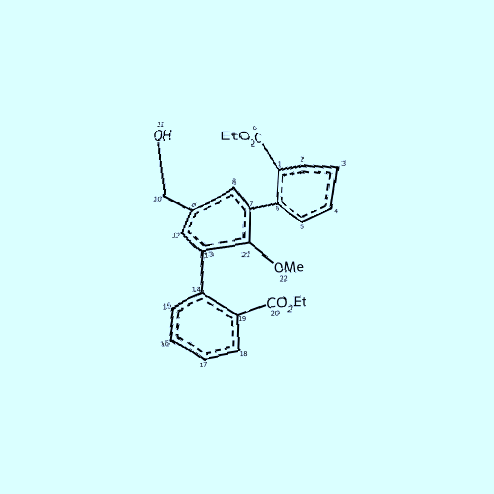 CCOC(=O)c1ccccc1-c1cc(CO)cc(-c2ccccc2C(=O)OCC)c1OC